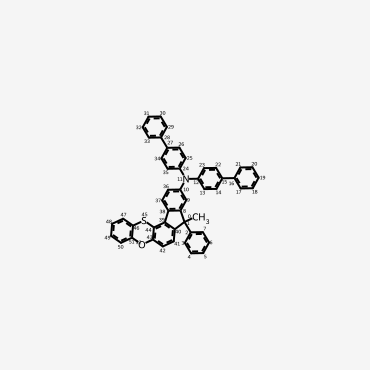 CC1(c2ccccc2)c2cc(N(c3ccc(-c4ccccc4)cc3)c3ccc(-c4ccccc4)cc3)ccc2-c2c1ccc1c2Sc2ccccc2O1